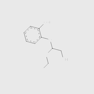 CCOC(CC)Oc1ccccc1O